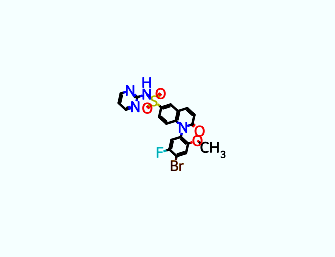 COc1cc(Br)c(F)cc1-n1c(=O)ccc2cc(S(=O)(=O)Nc3ncccn3)ccc21